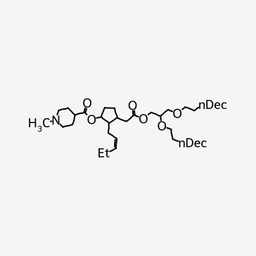 CC/C=C\CC1C(CC(=O)OCC(COCCCCCCCCCCCC)OCCCCCCCCCCCC)CCC1OC(=O)C1CCN(C)CC1